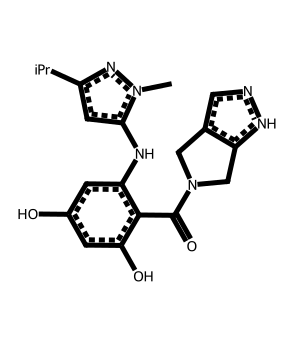 CC(C)c1cc(Nc2cc(O)cc(O)c2C(=O)N2Cc3cn[nH]c3C2)n(C)n1